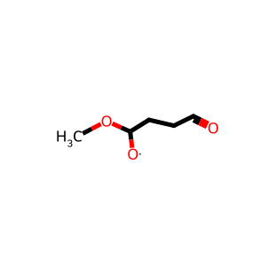 COC([O])CCC=O